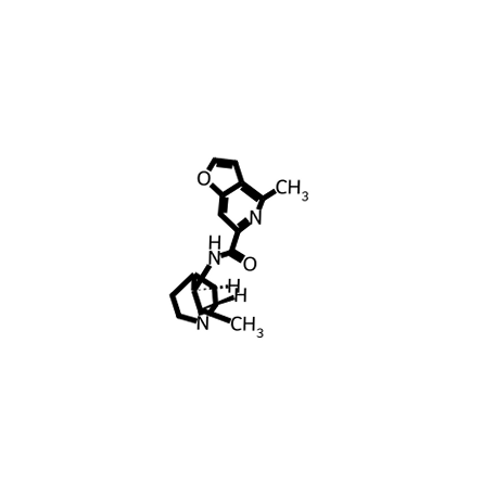 Cc1nc(C(=O)N[C@@H]2C3CCN(CC3)[C@H]2C)cc2occc12